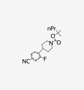 CCCC(C)(C)OC(=O)N1CCC(c2ccc(C#N)cc2F)CC1